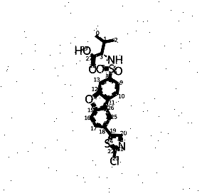 CC(C)[C@H](NS(=O)(=O)c1ccc2c(c1)oc1ccc(-c3cnc(Cl)s3)cc12)C(=O)O